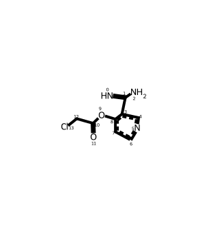 N=C(N)c1cnccc1OC(=O)CCl